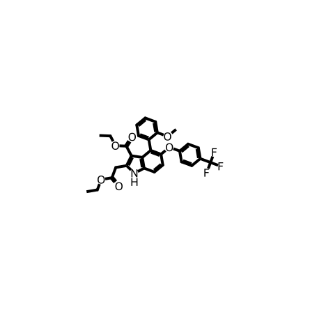 CCOC(=O)Cc1[nH]c2ccc(Oc3ccc(C(F)(F)F)cc3)c(-c3ccccc3OC)c2c1C(=O)OCC